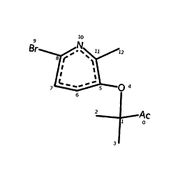 CC(=O)C(C)(C)Oc1ccc(Br)nc1C